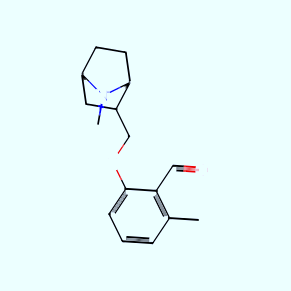 Cc1cccc(OCC2CC3CCC2N3C)c1C=O